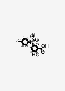 [CH2]c1ccc(N(c2ccc(O)c(C(=O)O)c2)[SH](=O)=O)cc1